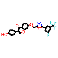 O=c1c(-c2ccc(O)cc2)coc2cc(OCc3nnc(-c4cc(F)cc(C(F)(F)F)c4)o3)ccc12